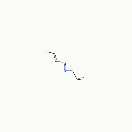 C=CCN=CC=CC